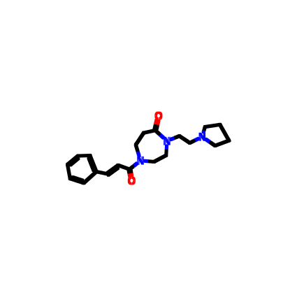 O=C(/C=C/c1ccccc1)N1CCC(=O)N(CCN2CCCC2)CC1